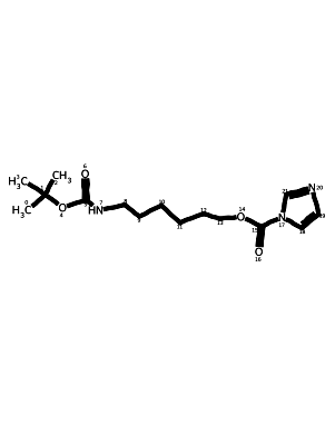 CC(C)(C)OC(=O)NCCCCCCOC(=O)n1ccnc1